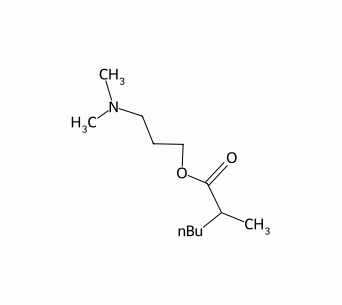 CCCCC(C)C(=O)OCCCN(C)C